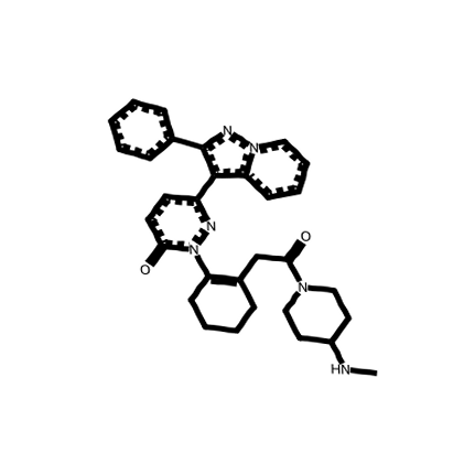 CNC1CCN(C(=O)CC2=C(n3nc(-c4c(-c5ccccc5)nn5ccccc45)ccc3=O)CCCC2)CC1